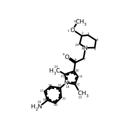 COC1CCCN(CC(=O)c2cc(C)n(-c3ccc(N)cc3)c2C)C1